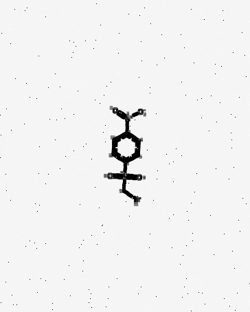 O=[N+]([O-])c1ccc(S(=O)(=O)CBr)cc1